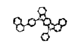 C1=CC2=C(c3ccc(-n4c5c(c6cc7c8c9ccccc9ccc8n(-c8ccccc8)c7cc64)C=CCC5)cc3)CCCC2C=C1